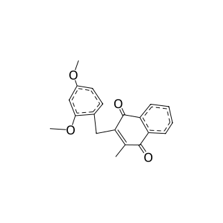 COc1ccc(CC2=C(C)C(=O)c3ccccc3C2=O)c(OC)c1